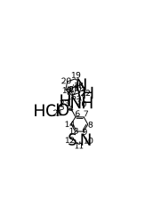 C[C@H]1[C@H](NC(=O)c2ccc3ncsc3c2)C2CCN1CC2.Cl